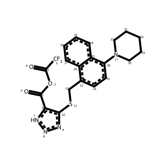 O=C(OC(=O)C(F)(F)F)c1[nH]nnc1SCc1ccc(N2CCCCC2)c2ccccc12